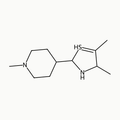 CC1=[SH]C(C2CCN(C)CC2)NC1C